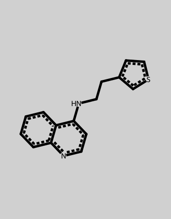 c1ccc2c(NCCc3ccsc3)ccnc2c1